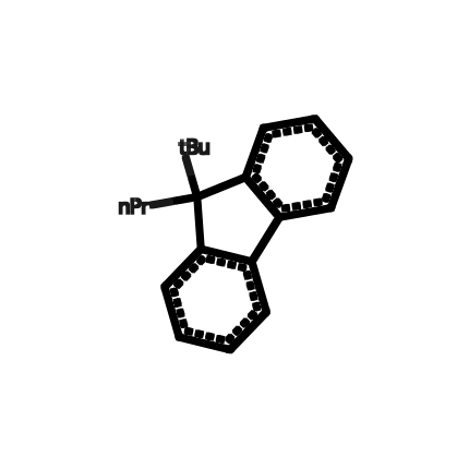 CCCC1(C(C)(C)C)c2ccccc2-c2ccccc21